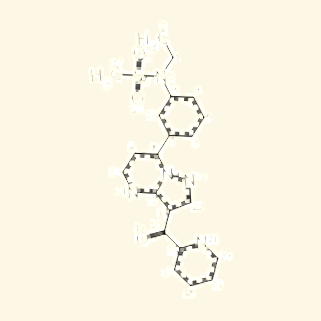 CCN(c1cccc(-c2ccnc3c(C(=O)c4ccccn4)cnn23)c1)S(C)(=O)=O